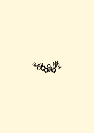 COCC1COc2cc3c(cc2O1)CCN(c1cccc(-c2nncn2C(C)C)n1)C3=O